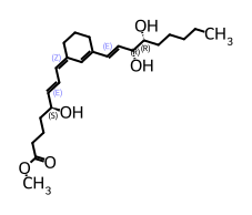 CCCCC[C@@H](O)[C@H](O)/C=C/C1=CC(=C\C=C\[C@@H](O)CCCC(=O)OC)/CCC1